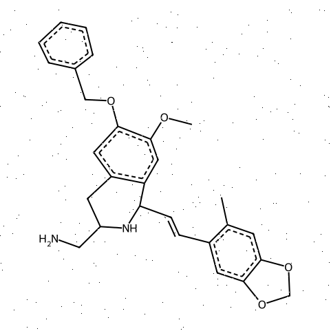 COc1cc2c(cc1OCc1ccccc1)CC(CN)NC2/C=C/c1cc2c(cc1C)OCO2